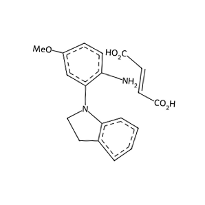 COc1ccc(N)c(N2CCc3ccccc32)c1.O=C(O)C=CC(=O)O